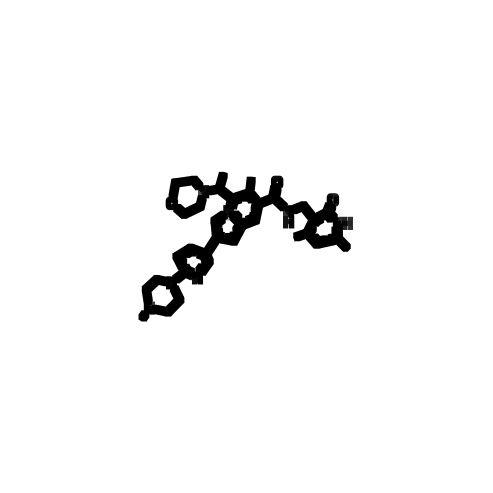 Cc1cc(C)c(CNC(=O)c2cc3cc(-c4ccc(N5CCN(C)CC5)nc4)cn3c(C(C)N3CCOCC3)c2C)c(=O)[nH]1